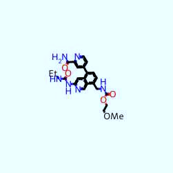 CCNC(=O)Nc1cc2c(-c3ccnc(C(N)=O)c3)ccc(CNC(=O)OCCOC)c2cn1